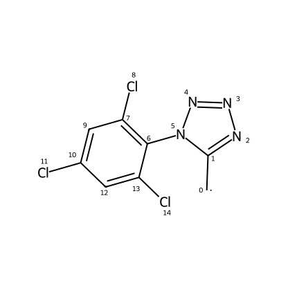 [CH2]c1nnnn1-c1c(Cl)cc(Cl)cc1Cl